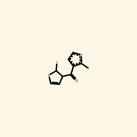 O=C(c1ccsc1I)C1C=CSC1I